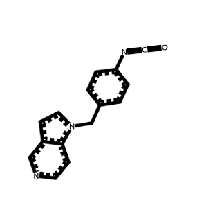 O=C=Nc1ccc(Cn2ccc3cnccc32)cc1